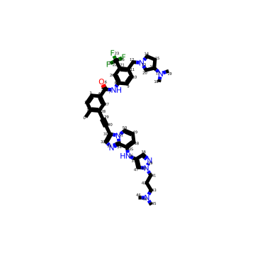 Cc1ccc(C(=O)Nc2ccc(CN3CCC(N(C)C)C3)c(C(F)(F)F)c2)cc1C#Cc1cnc2c(Nc3cnn(CCCN(C)C)c3)cccn12